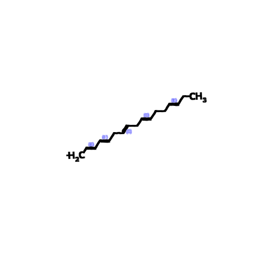 [CH2]/C=C/C=C/C/C=C/C/C=C/CC/C=C/CC